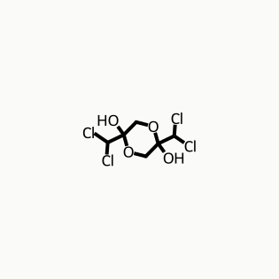 OC1(C(Cl)Cl)COC(O)(C(Cl)Cl)CO1